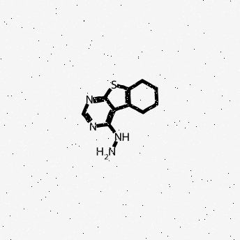 NNc1ncnc2sc3c(c12)CCCC3